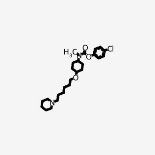 CN(C(=O)Oc1ccc(Cl)cc1)C1CCC(OCCCCCCN2CCCCC2)CC1